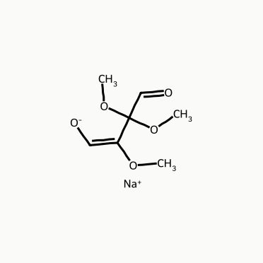 COC(=C[O-])C(C=O)(OC)OC.[Na+]